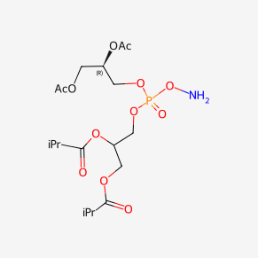 CC(=O)OC[C@H](COP(=O)(ON)OCC(COC(=O)C(C)C)OC(=O)C(C)C)OC(C)=O